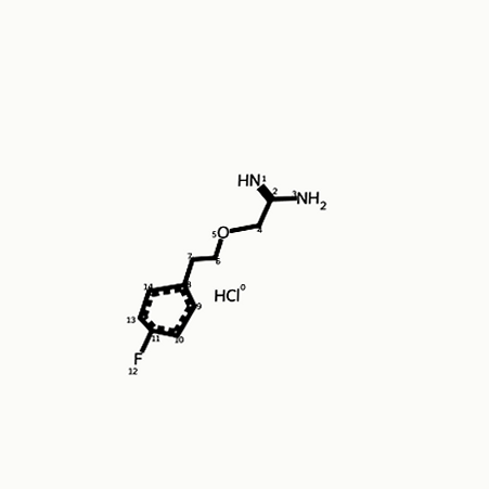 Cl.N=C(N)COCCc1ccc(F)cc1